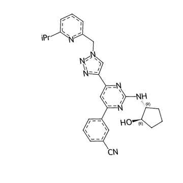 CC(C)c1cccc(Cn2cc(-c3cc(-c4cccc(C#N)c4)nc(N[C@@H]4CCC[C@H]4O)n3)nn2)n1